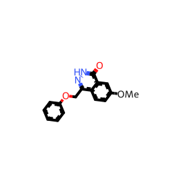 COc1ccc2c(COc3ccccc3)n[nH]c(=O)c2c1